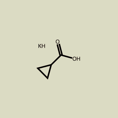 O=C(O)C1CC1.[KH]